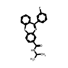 CC(C)NC(=O)c1ccc2c(c1)N=C(c1cccc(F)c1)c1ccccc1S2